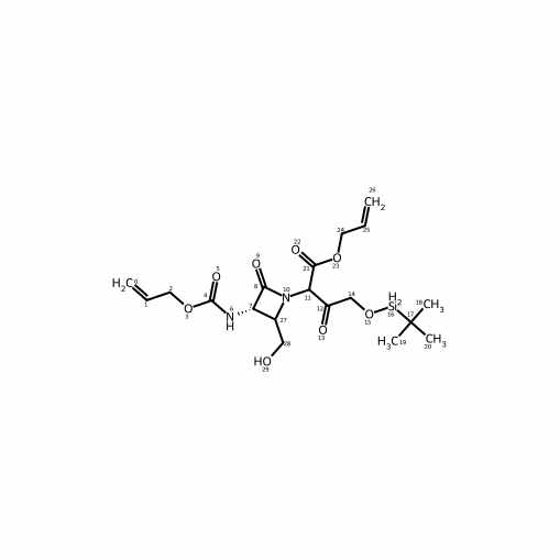 C=CCOC(=O)N[C@@H]1C(=O)N(C(C(=O)CO[SiH2]C(C)(C)C)C(=O)OCC=C)C1CO